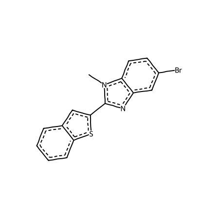 Cn1c(-c2cc3ccccc3s2)nc2cc(Br)ccc21